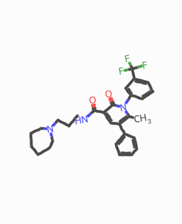 Cc1c(-c2ccccc2)cc(C(=O)NCCCN2CCCCCC2)c(=O)n1-c1cccc(C(F)(F)F)c1